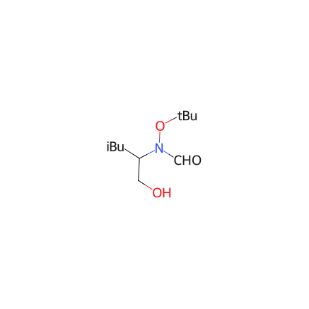 CCC(C)C(CO)N(C=O)OC(C)(C)C